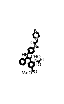 CCC(=O)Nc1cc(C(=O)OC)ccc1/C(C=O)=C(/Nc1ccc(N(C)C(=O)CN2CCN(C)CC2)cc1)c1ccccc1